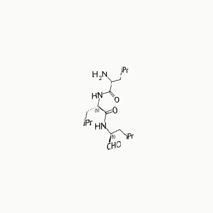 CC(C)CC(N)C(=O)N[C@@H](CC(C)C)C(=O)N[C@H](C=O)CC(C)C